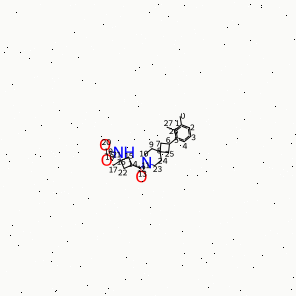 Cc1cccc(C2CC3(CCN(C(=O)C4CC5(COC(=O)N5)C4)CC3)C2)c1C